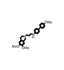 COc1ccc(-c2ccc(NCCCN3CCc4cc(OC)c(OC)cc4C3)cc2)cc1